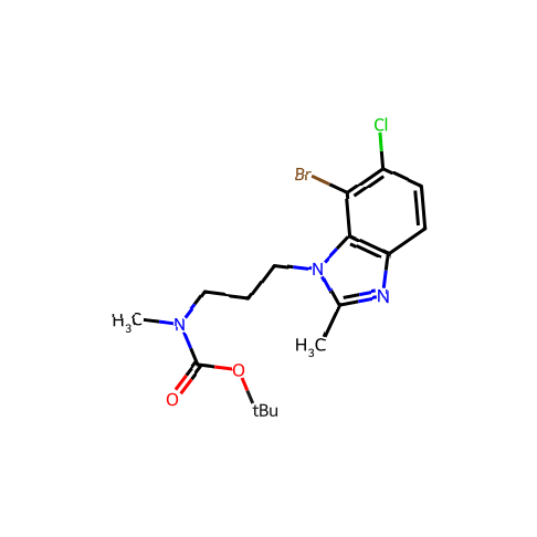 Cc1nc2ccc(Cl)c(Br)c2n1CCCN(C)C(=O)OC(C)(C)C